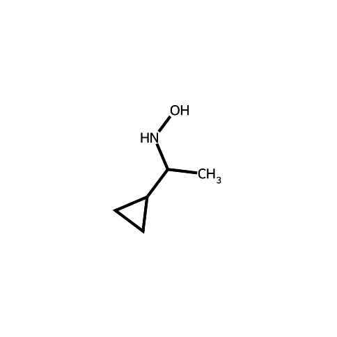 CC(NO)C1CC1